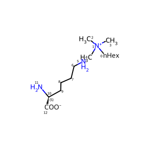 CCCCCC[N+](C)(C)C.NCCCC[C@H](N)C(=O)[O-]